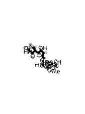 COP(=O)(OP(=O)(O)O)OP(=O)(O)OCC1C[C@H](O)C(c2cn(C)c(=O)[nH]c2=O)O1